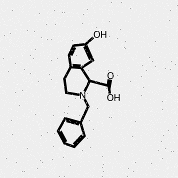 O=C(O)C1c2cc(O)ccc2CCN1Cc1ccccc1